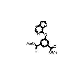 COC(=O)c1cc(Oc2ncnc3ccsc23)cc(C(=O)OC)c1